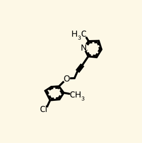 Cc1cccc(C#CCOc2ccc(Cl)cc2C)n1